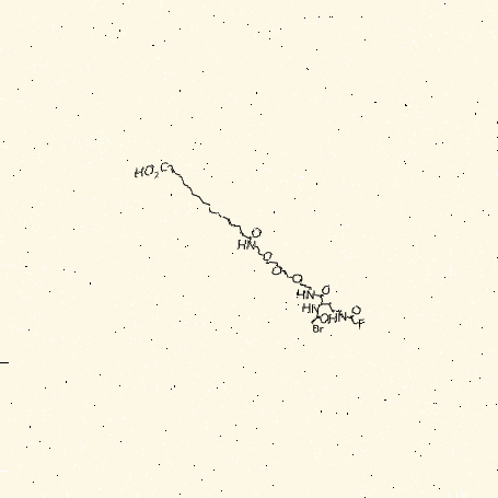 O=C(O)CCCCCCCCCCCCCCCCC(=O)NCCOCCOCCOCCNC(=O)C(CCCNC(=O)CF)NC(=O)CBr